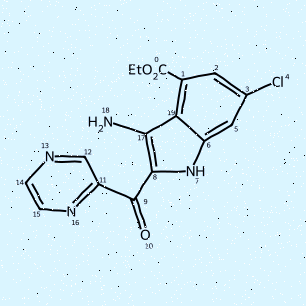 CCOC(=O)c1cc(Cl)cc2[nH]c(C(=O)c3cnccn3)c(N)c12